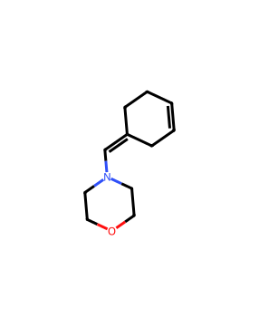 C1=CC/C(=C\N2CCOCC2)CC1